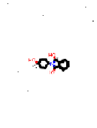 C[C@]1(O)CC[C@@H](N2C(O)c3ccccc3[C@@H]2O)CC1